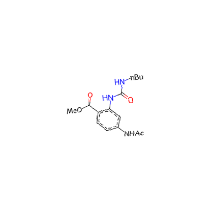 CCCCNC(=O)Nc1cc(NC(C)=O)ccc1C(=O)OC